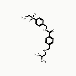 CCS(=O)(=O)c1ccc(CNC(=O)c2ccc(CNCC(C)C)cc2)cc1